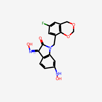 O=C1/C(=N\O)c2ccc(NO)cc2N1Cc1cc(F)cc2c1OCOC2